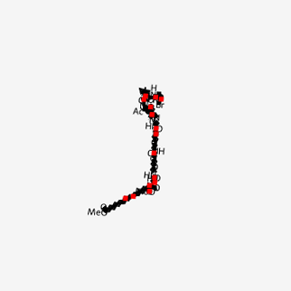 COC(=O)CCCCCCCCCCCCCCCCC(=O)N[C@@H](CCC(=O)NCCOCCOCC(=O)NCCOCCOCC(=O)NCc1ncc(-c2cc(C)c3c(c2)c(C(C)=O)nn3CC(=O)N2C3C[C@]3(C)C[C@H]2C(=O)Nc2nc(Br)ccc2C)cn1)C(=O)OC